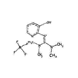 CN(C)C(=[S+]c1ncccc1O)N(C)C.F[B-](F)(F)F